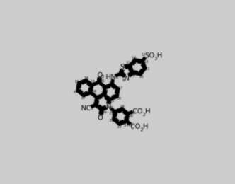 N#Cc1c2c3c(c(Nc4nc5ccc(S(=O)(=O)O)cc5s4)ccc3n(-c3ccc(C(=O)O)c(C(=O)O)c3)c1=O)C(=O)c1ccccc1-2